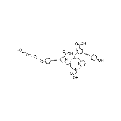 COCCOCCOCCOc1ccc(C#Cc2cc(CN3CCN(CC(=O)O)Cc4cccc(n4)CN(Cc4cc(C#Cc5ccc(O)cc5)cc(C(=O)O)n4)CC3)nc(C(=O)O)c2)cc1